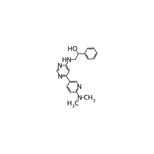 CN(C)c1ccc(-c2cc(NCC(O)c3ccccc3)ncn2)cn1